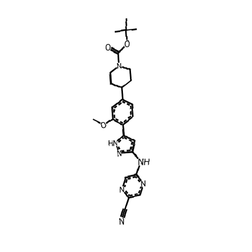 COc1cc(C2CCN(C(=O)OC(C)(C)C)CC2)ccc1-c1cc(Nc2cnc(C#N)cn2)n[nH]1